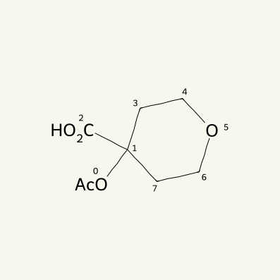 CC(=O)OC1(C(=O)O)CCOCC1